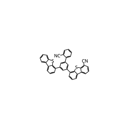 N#Cc1ccccc1-c1cc(-c2cccc3c2sc2ccccc23)cc(-c2cccc3c2sc2c(C#N)cccc23)c1